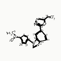 C[S+]([O-])c1ccc(-n2cnc3ccc(-c4nnc(CC(F)(F)F)o4)cc32)cc1